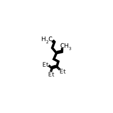 C=CCC(=CC)CCC(CC)=C(CC)CC